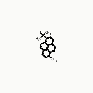 Cc1ccc2ccc3c(C(C)(C)I)ccc4ccc1c2c43